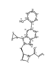 C=CC(=O)N1CC[C@H]1Cc1[nH]c2nnc(-c3ccccc3O)cc2c1C1CC1